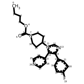 CCCCOC(=O)N1CCC(n2cnc(-c3ccc(F)cc3)c2-c2ccncc2)CC1